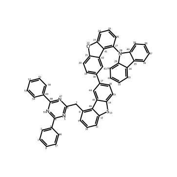 c1ccc(-c2nc(Cc3cccc4sc5ccc(-c6ccc7oc8cccc(-n9c%10ccccc%10c%10ccccc%109)c8c7c6)cc5c34)nc(-c3ccccc3)n2)cc1